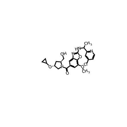 COc1cc(C(=O)N2C[C@H](OC3CC3)C[C@H]2CO)cc2nc(NC(C)c3cc(Cl)ccn3)oc12